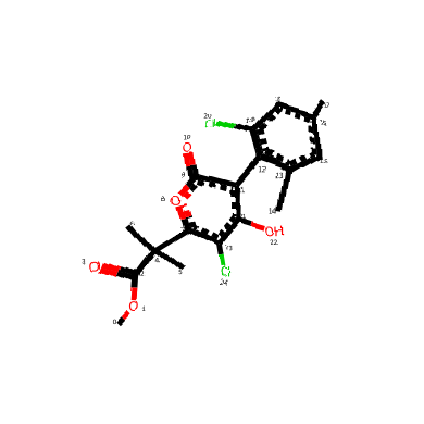 COC(=O)C(C)(C)c1oc(=O)c(-c2c(C)cc(C)cc2Cl)c(O)c1Cl